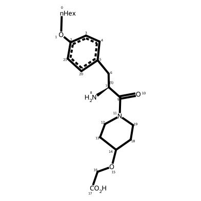 CCCCCCOc1ccc(C[C@H](N)C(=O)N2CCC(OCC(=O)O)CC2)cc1